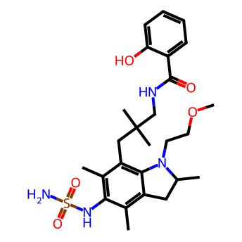 COCCN1c2c(c(C)c(NS(N)(=O)=O)c(C)c2CC(C)(C)CNC(=O)c2ccccc2O)CC1C